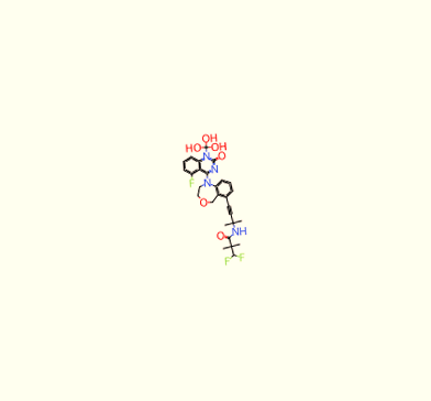 CC(C)(C#Cc1cccc2c1COCCN2c1nc(=O)n(C(O)(O)O)c2cccc(F)c12)NC(=O)C(C)(C)C(F)F